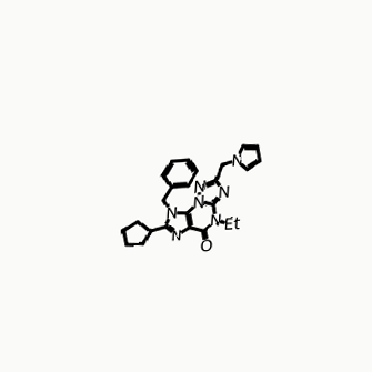 CCn1c(=O)c2nc(C3CCCC3)n(Cc3ccccc3)c2n2nc(Cn3cccc3)nc12